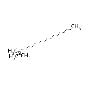 CCCCCCCCCCCCCCCC[CH][Si](C)(C)C